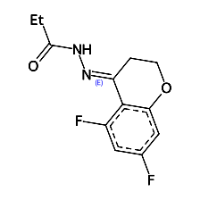 CCC(=O)N/N=C1\CCOc2cc(F)cc(F)c21